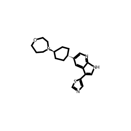 c1ncc(-c2c[nH]c3ncc([C@H]4CC[C@H](N5CCCOCC5)CC4)cc23)s1